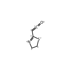 O=C=CC1=NCCS1